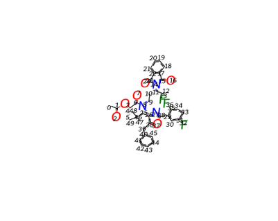 CC(=O)O[C@@H](C)C(=O)N(CC[C@@H](CF)N1C(=O)c2ccccc2C1=O)[C@H](c1nc(-c2cc(F)ccc2F)oc1Cc1ccccc1)C(C)(C)C